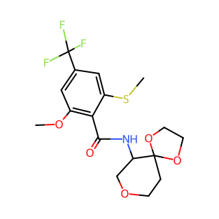 COc1cc(C(F)(F)F)cc(SC)c1C(=O)NC1COCCC12OCCO2